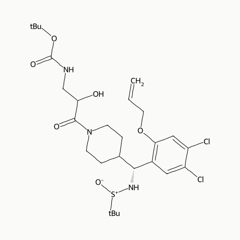 C=CCOc1cc(Cl)c(Cl)cc1[C@H](N[S+]([O-])C(C)(C)C)C1CCN(C(=O)C(O)CNC(=O)OC(C)(C)C)CC1